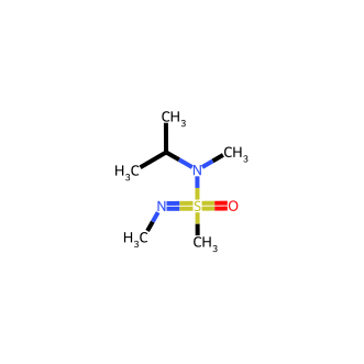 CN=S(C)(=O)N(C)C(C)C